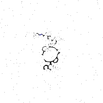 CCn1c(-c2cccnc2[C@H](C)OC)c2c3cc(ccc31)-c1csc(n1)C[C@H](NC(=O)[C@H](C(C)C)N(C)C(=O)N1CC(N(C)C(=O)/C=C/CN(C)C)C1)C(=O)N1CCC[C@H](N1)C(=O)OCC(C)(C)C2